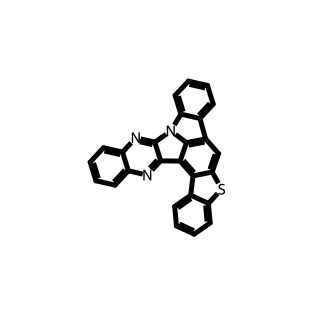 c1ccc2nc3c(nc2c1)c1c2c(cc4c5ccccc5n3c41)sc1ccccc12